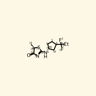 CCC(F)(F)C1CC[C@@H](NC2=NC(=O)[C@@H](C)S2)C1